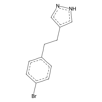 Brc1ccc(CCc2cn[nH]c2)cc1